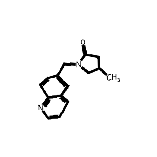 CC1CC(=O)N(Cc2ccc3ncccc3c2)C1